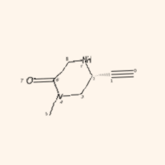 C#C[C@@H]1CN(C)C(=O)CN1